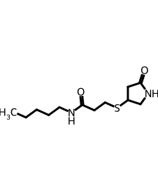 CCCCCNC(=O)CCSC1CNC(=O)C1